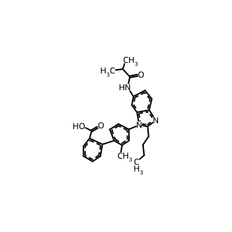 CCCCc1nc2ccc(NC(=O)C(C)C)cc2n1-c1ccc(-c2ccccc2C(=O)O)c(C)c1